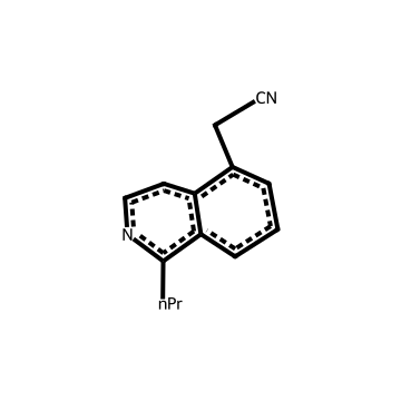 CCCc1nccc2c(CC#N)cccc12